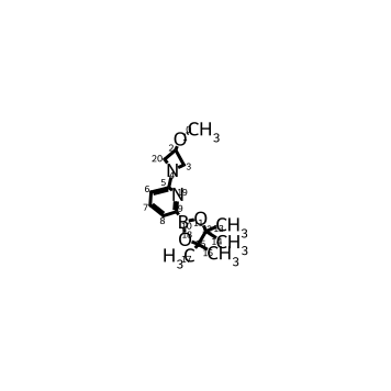 COC1CN(c2cccc(B3OC(C)(C)C(C)(C)O3)n2)C1